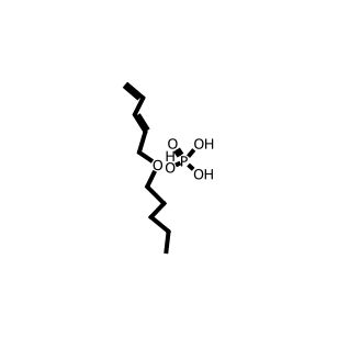 C=CC=CCOCCCCC.O=P(O)(O)O